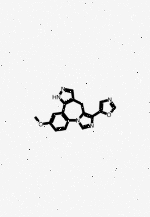 COc1ccc2c(c1)-c1[nH]ncc1Cc1c(-c3cnco3)ncn1-2